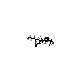 CCCCCCC(CCC)C(C)(C)C1=CC(C(C)(C)C)=CC1